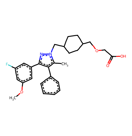 COc1cc(F)cc(-c2nn(CC3CCC(COCC(=O)O)CC3)c(C)c2-c2ccccc2)c1